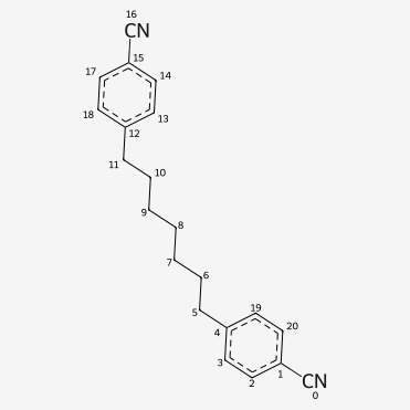 N#Cc1ccc(CCCCCCCc2ccc(C#N)cc2)cc1